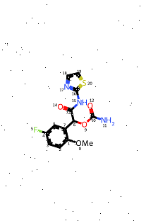 COc1ccc(F)cc1C(OC(N)=O)C(=O)Nc1nccs1